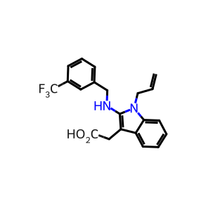 C=CCn1c(NCc2cccc(C(F)(F)F)c2)c(CC(=O)O)c2ccccc21